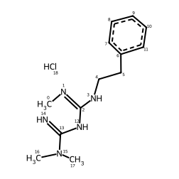 CN=C(NCCc1ccccc1)NC(=N)N(C)C.Cl